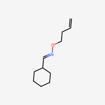 C=CCCO/N=[C]/C1CCCCC1